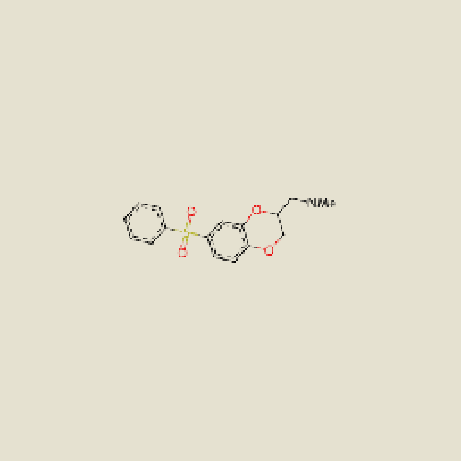 CNCC1COc2ccc(S(=O)(=O)c3ccccc3)cc2O1